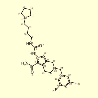 NC(=O)c1c(NC(=O)NCCCCN2CCCC2)sc2c1CCN(Cc1cc(F)cc(F)c1)C2